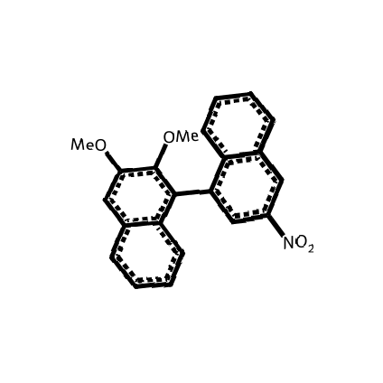 COc1cc2ccccc2c(-c2cc([N+](=O)[O-])cc3ccccc23)c1OC